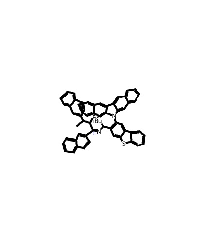 CCC(C)C(/N=C(/c1ccc2ccccc2c1)C(CC)C(C)c1ccc2ccccc2c1)c1cc2sc3ccccc3c2cc1-n1c2cc3ccccc3cc2c2cc3ccccc3cc21